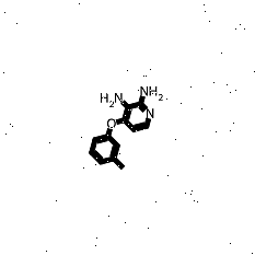 Cc1cccc(Oc2ccnc(N)c2N)c1